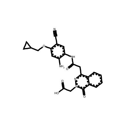 N#Cc1cc(NC(=O)Cc2nn(CC(=O)O)c(=O)c3ccccc23)c(N)cc1OCC1CC1